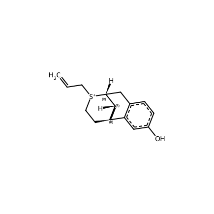 C=CC[S+]1CC[C@]23CCCC[C@H]2[C@H]1Cc1ccc(O)cc13